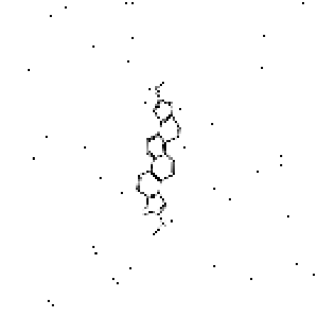 CSc1cc2c(ccc3c2ccc2c4ccc5sc(SC)cc5c4ccc32)s1